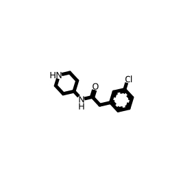 O=C(Cc1cccc(Cl)c1)NC1CCNCC1